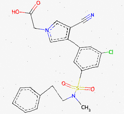 CN(CCc1ccccc1)S(=O)(=O)c1cc(Cl)cc(-c2cn(CC(=O)O)cc2C#N)c1